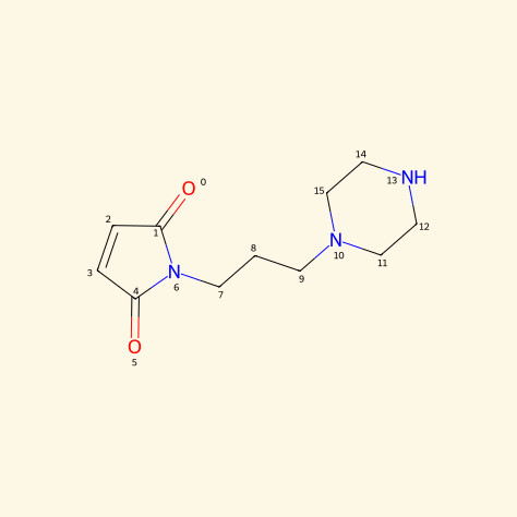 O=C1C=CC(=O)N1CCCN1CCNCC1